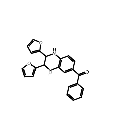 O=C(c1ccccc1)c1ccc2c(c1)NC(c1ccco1)C(c1ccco1)N2